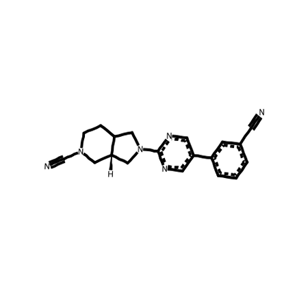 N#Cc1cccc(-c2cnc(N3CC4CCN(C#N)C[C@H]4C3)nc2)c1